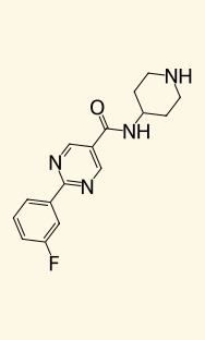 O=C(NC1CCNCC1)c1cnc(-c2cccc(F)c2)nc1